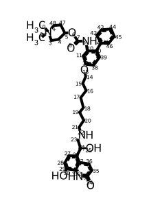 C[N+]1(C)CCC(OC(=O)Nc2cc(OCCCCCCCCNC[C@@H](O)c3ccc(O)c4[nH]c(=O)ccc34)ccc2-c2ccccc2)CC1